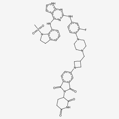 CS(=O)(=O)N1CCc2cccc(Nc3nc(Nc4ccc(N5CCN(CC6CN(c7ccc8c(c7)C(=O)N(C7CCC(=O)NC7=O)C8=O)C6)CC5)c(F)c4)nc4[nH]ccc34)c21